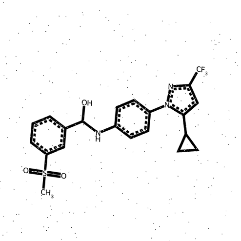 CS(=O)(=O)c1cccc(C(O)Nc2ccc(-n3nc(C(F)(F)F)cc3C3CC3)cc2)c1